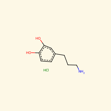 Cl.NCCCc1ccc(O)c(O)c1